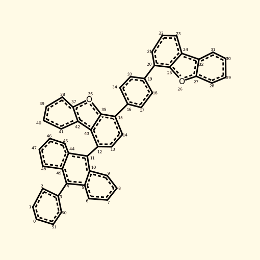 c1ccc(-c2c3ccccc3c(-c3ccc(-c4ccc(-c5cccc6c5oc5ccccc56)cc4)c4oc5ccccc5c34)c3ccccc23)cc1